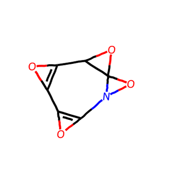 O1C2=C1C1OC13ON3C1=C2O1